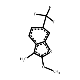 COc1sc2cc(C(F)(F)F)ccc2c1C